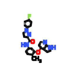 Cc1ccc(NC(=O)c2ccn(-c3ccc(F)cc3)n2)cc1Oc1ccnc2[nH]ccc12